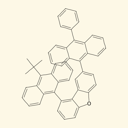 CC(C)(C)c1c2ccccc2c(-c2cccc3oc4ccc(-c5c6ccccc6c(-c6ccccc6)c6ccccc56)cc4c23)c2ccccc12